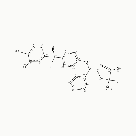 CC(N)(CCC(Oc1ccc(C(F)(F)c2ccc(F)c(Cl)c2)cc1)c1ccccc1)C(=O)O